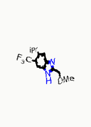 COCc1nc2cc(C(C)C)c(C(F)(F)F)cc2[nH]1